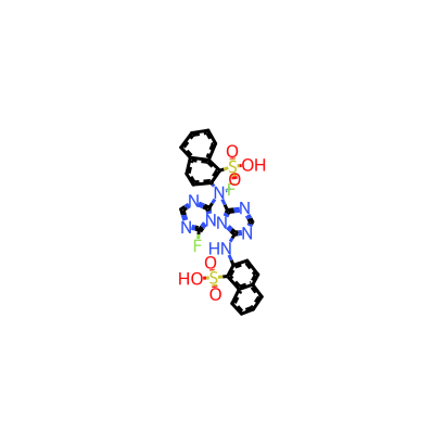 O=S(=O)(O)c1c(Nc2ncnc([N+](F)(c3ncnc(F)n3)c3ccc4ccccc4c3S(=O)(=O)O)n2)ccc2ccccc12